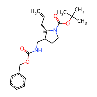 C=CC[C@@H]1C(CNC(=O)OCc2ccccc2)CCN1C(=O)OC(C)(C)C